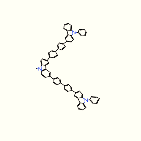 Cn1c2ccc(-c3ccc(-c4ccc(-c5ccc6c(c5)c5ccccc5n6-c5ccccc5)cc4)cc3)cc2c2cc(-c3ccc(-c4ccc(-c5ccc6c(c5)c5ccccc5n6-c5ccccc5)cc4)cc3)ccc21